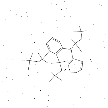 CC(C)(C)CC(C)(C)c1cccc(N(c2ccccc2)C(C)(C)CC(C)(C)C)c1C(C)(C)CC(C)(C)C